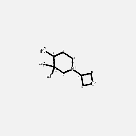 CC(C)C1CCN(C2COC2)CC1(F)F